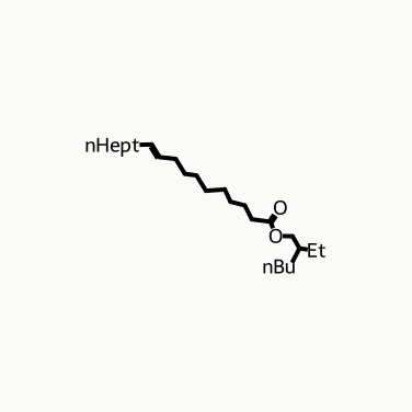 CCCCCCC/C=C/CCCCCCCCC(=O)OCC(CC)CCCC